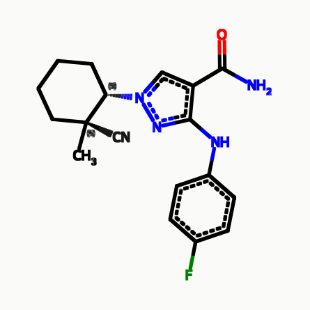 C[C@]1(C#N)CCCC[C@@H]1n1cc(C(N)=O)c(Nc2ccc(F)cc2)n1